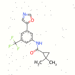 CC1(C)CC1C(=O)Nc1cc(-c2cnco2)cc(C(F)(F)F)c1